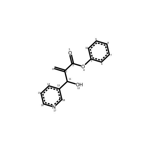 C=C(C(=O)Oc1ccccc1)C(O)c1cccnc1